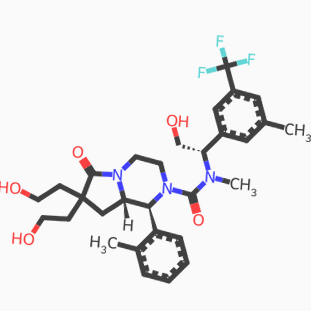 Cc1cc([C@@H](CO)N(C)C(=O)N2CCN3C(=O)C(CCO)(CCO)C[C@H]3[C@@H]2c2ccccc2C)cc(C(F)(F)F)c1